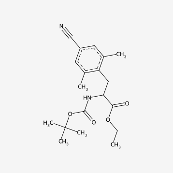 CCOC(=O)C(Cc1c(C)cc(C#N)cc1C)NC(=O)OC(C)(C)C